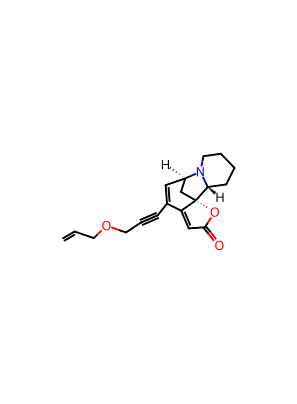 C=CCOCC#CC1=C[C@@H]2C[C@@]3(OC(=O)C=C13)[C@H]1CCCCN21